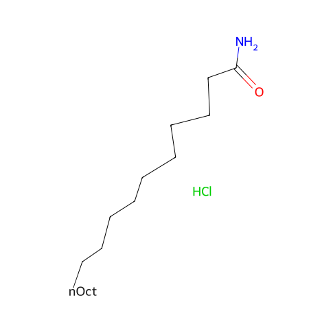 CCCCCCCCCCCCCCCCCC(N)=O.Cl